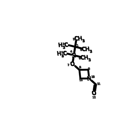 CC(C)(C)[Si](C)(C)OC1CN(C=O)C1